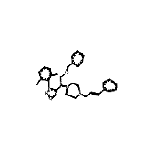 Cc1cccc(C)c1-n1nnnc1C(COCc1ccccc1)N1CCN(CC=Cc2ccccc2)CC1